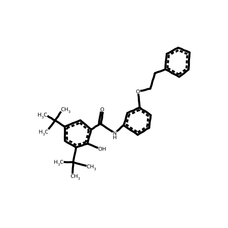 CC(C)(C)c1cc(C(=O)Nc2cccc(OCCc3ccccc3)c2)c(O)c(C(C)(C)C)c1